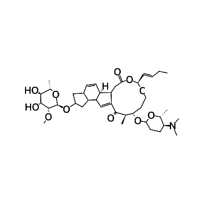 CC/C=C/[C@H]1CCC[C@H](OC2CC[C@H](N(C)C)[C@@H](C)O2)[C@@H](C)C(=O)C2=CC3C4CC(O[C@@H]5O[C@@H](C)[C@H](O)[C@@H](O)[C@H]5OC)CC4C=C[C@H]3C2CC(=O)O1